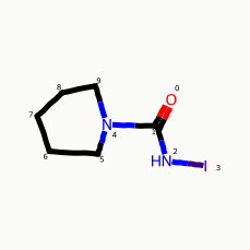 O=C(NI)N1CCCCC1